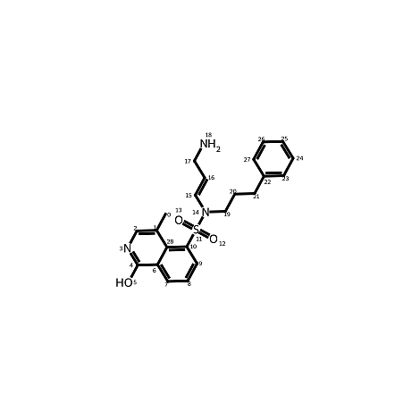 Cc1cnc(O)c2cccc(S(=O)(=O)N(C=CCN)CCCc3ccccc3)c12